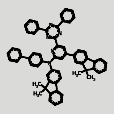 CC1(C)c2ccccc2-c2ccc(-c3cc(-c4nc(-c5ccccc5)nc(-c5ccccc5)n4)nc(N(c4ccc(-c5ccccc5)cc4)c4ccc5c(c4)C(C)(C)c4ccccc4-5)c3)cc21